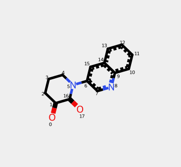 O=C1CCCN(c2cnc3ccccc3c2)C1=O